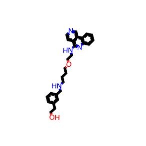 OCCc1cccc(CNCCCCOCCNc2nc3ccccc3c3cnccc23)c1